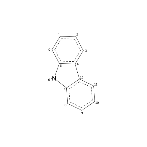 [c]1cccc2c1[N]c1ccccc1-2